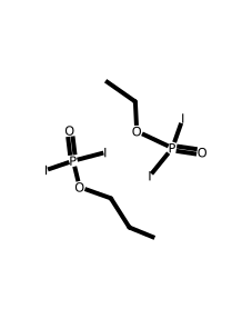 CCCOP(=O)(I)I.CCOP(=O)(I)I